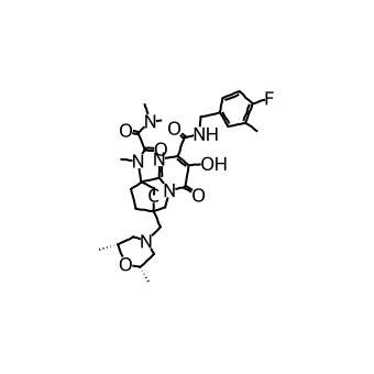 Cc1cc(CNC(=O)c2nc3n(c(=O)c2O)CC2(CN4C[C@@H](C)O[C@@H](C)C4)CCC3(N(C)C(=O)C(=O)N(C)C)CC2)ccc1F